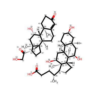 C[C@H](CCC(=O)O)[C@H]1CC[C@H]2[C@@H]3[C@H](O)C[C@@H]4C[C@H](O)CC[C@]4(C)[C@H]3C[C@H](O)[C@]12C.C[C@]12C[C@H](O)[C@H]3[C@@H](CCC4=CC(=O)CC[C@@]43C)[C@@H]1CC[C@@H]2C(=O)CO